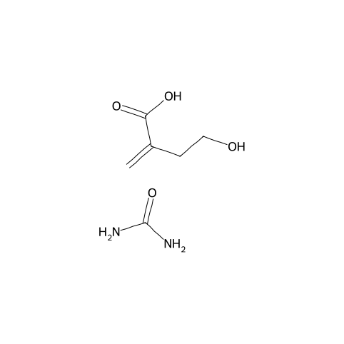 C=C(CCO)C(=O)O.NC(N)=O